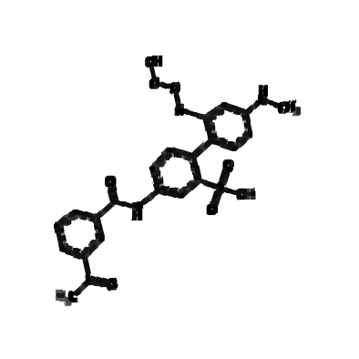 CNc1ccc(-c2ccc(NC(=O)c3cccc(C(C)=O)c3)cc2S(=O)(=O)O)c(SOOO)c1